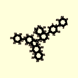 c1ccc(-c2ccc(-c3ccc(-n4c5ccc(-c6ccccc6)cc5c5cc6ccccc6cc54)c4cnncc34)cc2)cc1